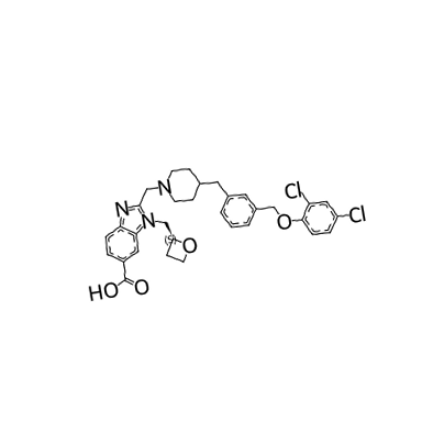 O=C(O)c1ccc2nc(CN3CCC(Cc4cccc(COc5ccc(Cl)cc5Cl)c4)CC3)n(C[C@@H]3CCO3)c2c1